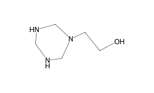 OCCN1CNCNC1